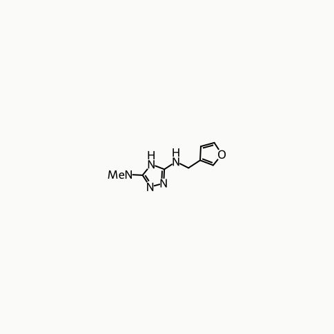 CNc1nnc(NCc2ccoc2)[nH]1